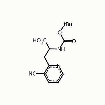 CC(C)(C)OC(=O)NC(Cc1ncccc1C#N)C(=O)O